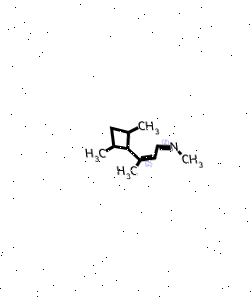 C/N=C\C=C(\C)C1C(C)CC1C